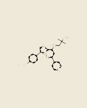 CC(C)(O)CNc1cc(-c2ccncc2)nn2c(-c3ccc(C=O)cc3)cnc12